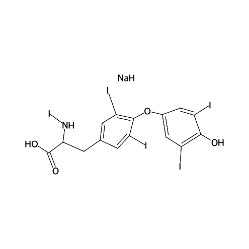 O=C(O)C(Cc1cc(I)c(Oc2cc(I)c(O)c(I)c2)c(I)c1)NI.[NaH]